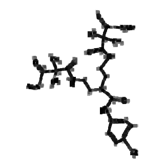 CCc1ccc(NC(=O)N(CCNC(=O)C(C)(C)C(=O)NC)CCNC(=O)C(C)(C)C(=O)NC)cc1